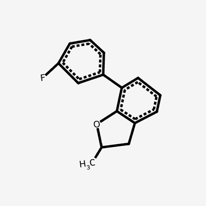 CC1Cc2cccc(-c3cccc(F)c3)c2O1